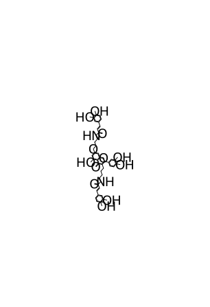 O=C(/C=C/c1ccc(O)c(O)c1)NCCCCc1c(-c2ccc(O)c(O)c2)oc2cc(OCCCNC(=O)/C=C/c3ccc(O)c(O)c3)cc(O)c2c1=O